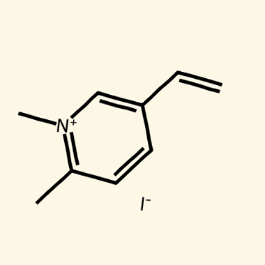 C=Cc1ccc(C)[n+](C)c1.[I-]